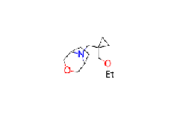 CCOCC1(CN2C3CCC2COC3)CC1